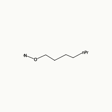 CCCCCCCO[N]